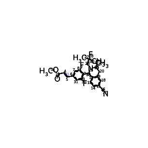 COC(=O)/C=C/c1cc(F)c([C@@H]2c3ccc(C#N)cc3C[C@@H](C)N2CC(C)(C)F)c(F)c1